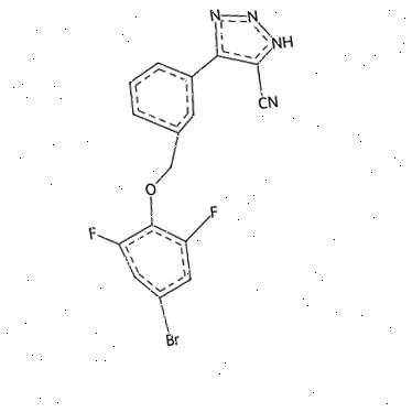 N#Cc1[nH]nnc1-c1cccc(COc2c(F)cc(Br)cc2F)c1